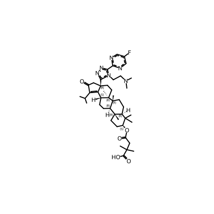 CC(C)C1=C2[C@H]3CC[C@@H]4[C@@]5(C)CC[C@H](OC(=O)CC(C)(C)C(=O)O)C(C)(C)[C@@H]5CC[C@@]4(C)[C@]3(C)CC[C@@]2(c2nnc(-c3ncc(F)cn3)n2CCN(C)C)CC1=O